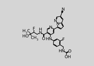 CC(C)(O)C(F)CNC(=O)c1cnc(-c2ccc3cc(C#N)cnn23)cc1Nc1ccc(CNC(=O)O)c(F)c1